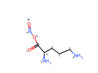 NCCC[C@@H](N)C(=O)ON=O